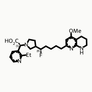 CCc1ncccc1[C@@H](C(=O)O)N1CCC([C@H](F)CCCCc2cc(OC)c3c(n2)NCCC3)C1